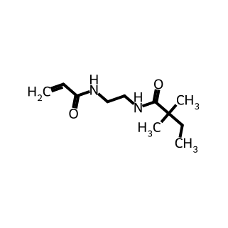 C=CC(=O)NCCNC(=O)C(C)(C)CC